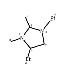 CCC1CN(CC)C(C)N1C